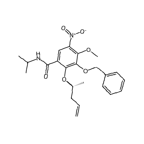 C=CC[C@@H](C)Oc1c(C(=O)NC(C)C)cc([N+](=O)[O-])c(OC)c1OCc1ccccc1